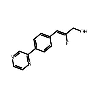 OCC(F)=Cc1ccc(-c2cnccn2)cc1